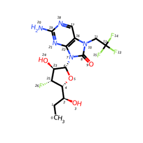 CC[C@H](O)[C@H]1O[C@@H](n2c(=O)n(CC(F)(F)F)c3cnc(N)nc32)[C@H](O)[C@H]1F